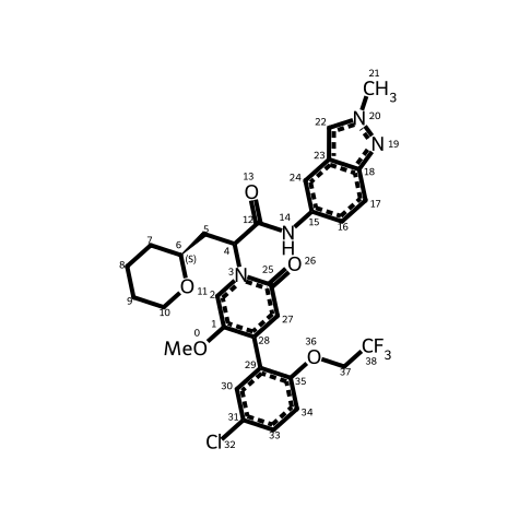 COc1cn(C(C[C@@H]2CCCCO2)C(=O)Nc2ccc3nn(C)cc3c2)c(=O)cc1-c1cc(Cl)ccc1OCC(F)(F)F